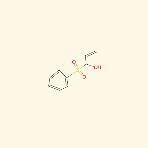 C=CC(O)S(=O)(=O)c1ccccc1